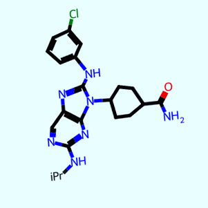 CC(C)Nc1ncc2nc(Nc3cccc(Cl)c3)n(C3CCC(C(N)=O)CC3)c2n1